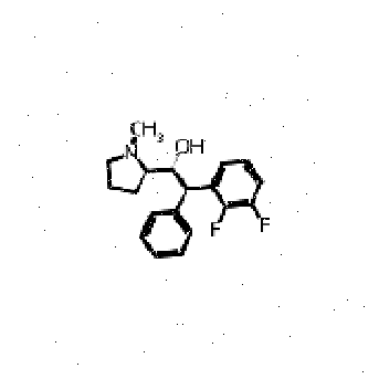 CN1CCC[C@@H]1[C@H](O)[C@H](c1ccccc1)c1cccc(F)c1F